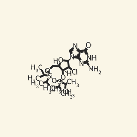 CC(C)[Si]1(C(C)C)OC[C@H]2O[C@@H](n3cnc4c(=O)[nH]c(N)nc43)C(Cl)[C@H]2O[Si](C(C)C)(C(C)C)O1